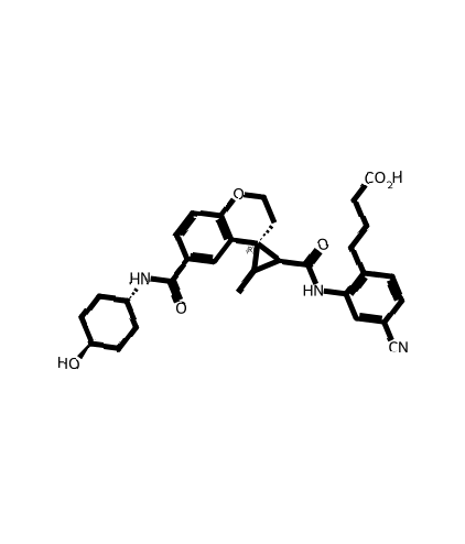 CC1C(C(=O)Nc2cc(C#N)ccc2CCCC(=O)O)[C@@]12CCOc1ccc(C(=O)N[C@H]3CC[C@H](O)CC3)cc12